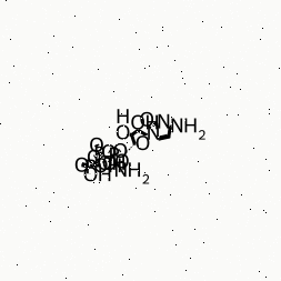 NOP(=O)(OC[C@H]1O[C@@H](n2ccc(N)nc2=O)C(O)C1O)OP(=O)(O)OP(=O)(O)O